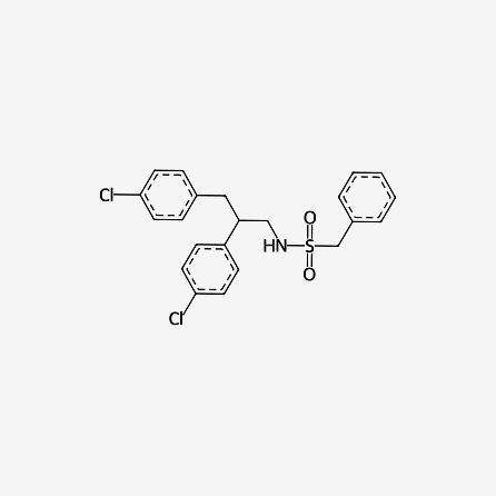 O=S(=O)(Cc1ccccc1)NCC(Cc1ccc(Cl)cc1)c1ccc(Cl)cc1